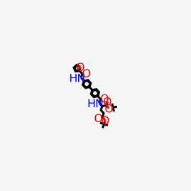 CC(C)(C)OC(=O)CCC(NC(=O)c1ccc(-c2ccc(NC(=O)c3ccco3)cc2)cc1)C(=O)OC(C)(C)C